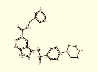 O=C(NCc1cccnc1)c1ccc2[nH]nc(NC(=O)c3ccc(N4CCOCC4)cc3)c2c1